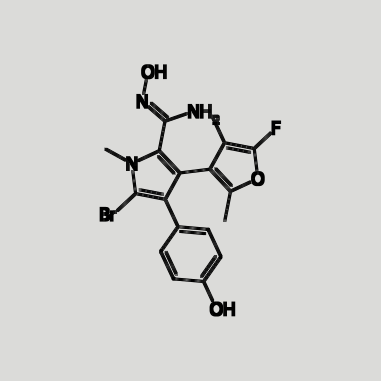 Cc1oc(F)c(C)c1-c1c(-c2ccc(O)cc2)c(Br)n(C)c1/C(N)=N/O